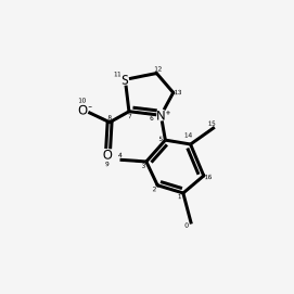 Cc1cc(C)c([N+]2=C(C(=O)[O-])SCC2)c(C)c1